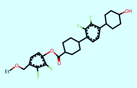 CCOCc1ccc(OC(=O)C2CCC(c3ccc(C4CCC(O)CC4)c(F)c3F)CC2)c(F)c1F